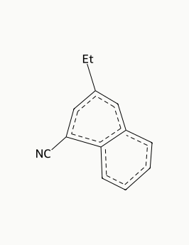 CCc1cc(C#N)c2ccccc2c1